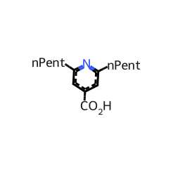 CCCCCc1cc(C(=O)O)cc(CCCCC)n1